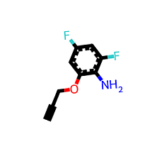 C#CCOc1cc(F)cc(F)c1N